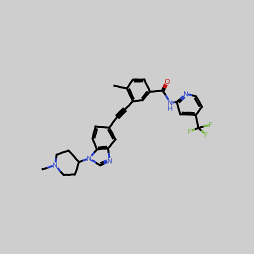 Cc1ccc(C(=O)Nc2cc(C(F)(F)F)ccn2)cc1C#Cc1ccc2c(c1)ncn2C1CCN(C)CC1